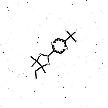 CCC1(C)OB(c2cnc(C(F)(F)F)cn2)OC1(C)C